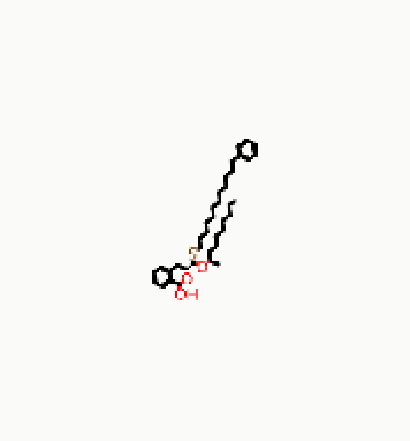 CCCCCCCCC(C)O[C@@H](CCc1ccccc1C(=O)O)SCCCCCCCCCCCCc1ccccc1